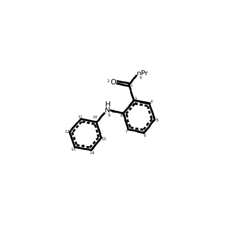 CCCC(=O)c1ccccc1Nc1ccccc1